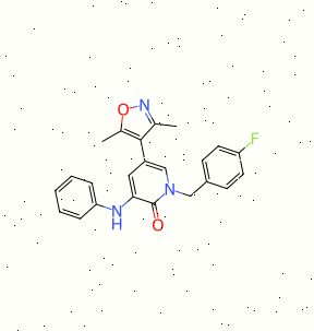 Cc1noc(C)c1-c1cc(Nc2ccccc2)c(=O)n(Cc2ccc(F)cc2)c1